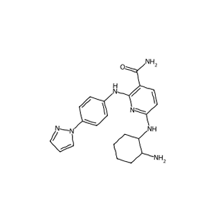 NC(=O)c1ccc(NC2CCCCC2N)nc1Nc1ccc(-n2cccn2)cc1